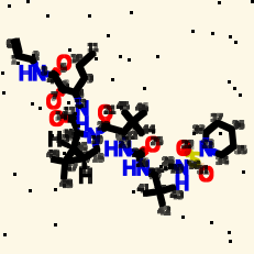 C=CCNC(=O)C(=O)C(CCC)NC(=O)[C@@H]1[C@@H]2[C@H](CN1C(=O)[C@@H](NC(=O)N[C@H](CNS(=O)(=O)N1CCCCC1)C(C)(C)C)C(C)(C)C)C2(C)C